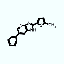 Cc1ccc(-c2nc3ncc(-c4ccccc4)cc3[nH]2)s1